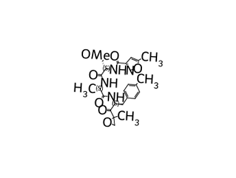 COC[C@H](NC(=O)c1cc(C)on1)C(=O)N[C@@H](C)C(=O)N[C@@H](Cc1ccc(C)cc1)C(=O)C1(C)CO1